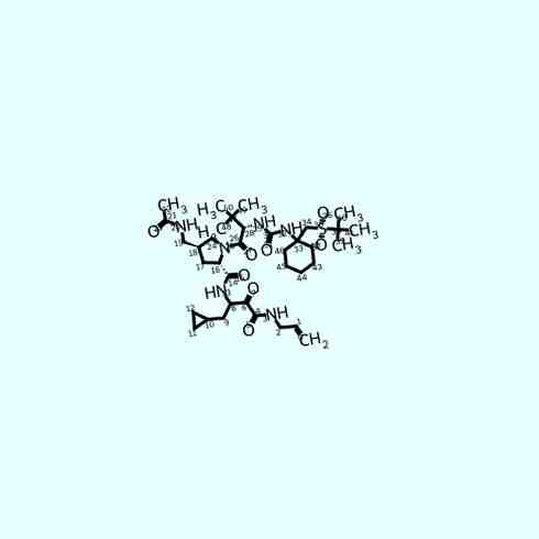 C=CCNC(=O)C(=O)C(CC1CC1)NC(=O)[C@@H]1C[C@@H](CNC(C)=O)CN1C(=O)[C@@H](NC(=O)NC1(CS(=O)(=O)C(C)(C)C)CCCCC1)C(C)(C)C